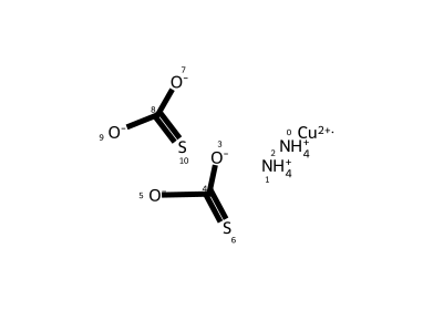 [Cu+2].[NH4+].[NH4+].[O-]C([O-])=S.[O-]C([O-])=S